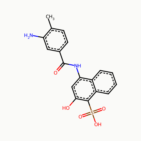 Cc1ccc(C(=O)Nc2cc(O)c(S(=O)(=O)O)c3ccccc23)cc1N